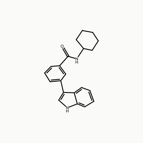 O=C(NC1CCCCC1)c1cccc(-c2c[nH]c3ccccc23)c1